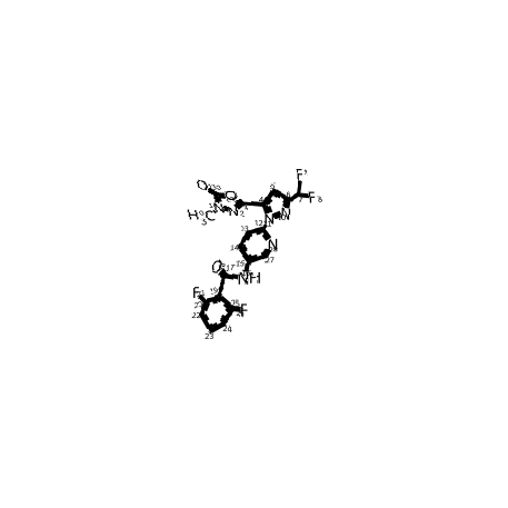 Cn1nc(-c2cc(C(F)F)nn2-c2ccc(NC(=O)c3c(F)cccc3F)cn2)oc1=O